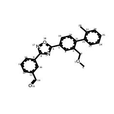 COCc1cc(-c2nc(-c3cccc(C=O)c3)no2)ccc1-c1ccccc1C